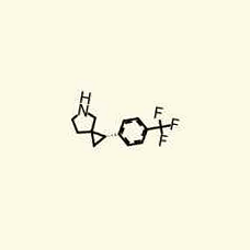 FC(F)(F)c1ccc([C@@H]2CC23CCNC3)cc1